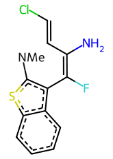 CNc1sc2ccccc2c1/C(F)=C(N)\C=C\Cl